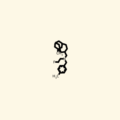 Cc1ccc(CN(CCF)CC2CCC3CC4CC2C(C)(C3)C4)cc1